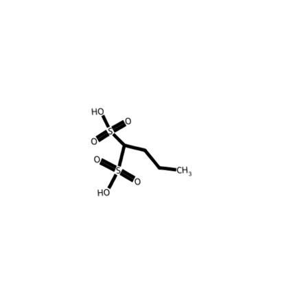 CCCC(S(=O)(=O)O)S(=O)(=O)O